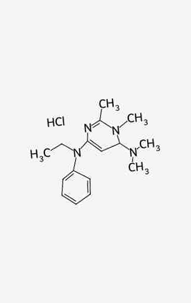 CCN(C1=CC(N(C)C)N(C)C(C)=N1)c1ccccc1.Cl